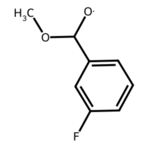 COC([O])c1cccc(F)c1